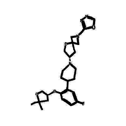 CC1(C)C[C@H](Oc2ccc(F)cc2C2CCN([C@@H]3COC4(C3)CN(c3nnco3)C4)CC2)CO1